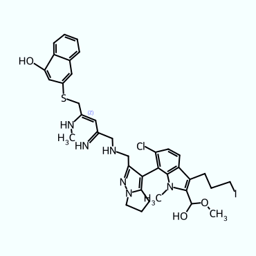 CN/C(=C\C(=N)CNCc1nn2c(c1-c1c(Cl)ccc3c(CCCI)c(C(O)OC)n(C)c13)CCC2)CSc1cc(O)c2ccccc2c1